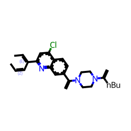 C=C(CCCC)N1CCN(C(=C)c2ccc3c(Cl)cc(C(/C=C\C)=C/C)nc3c2)CC1